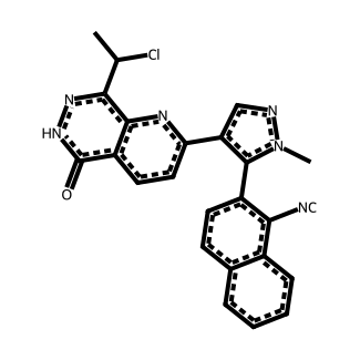 [C-]#[N+]c1c(-c2c(-c3ccc4c(=O)[nH]nc(C(C)Cl)c4n3)cnn2C)ccc2ccccc12